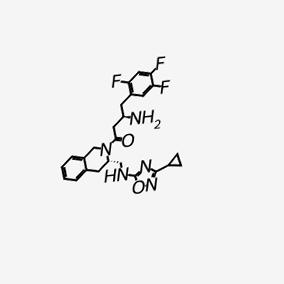 N[C@@H](CC(=O)N1Cc2ccccc2C[C@H]1CNc1nc(C2CC2)no1)Cc1cc(F)c(F)cc1F